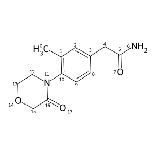 Cc1cc(CC(N)=O)ccc1N1CCOCC1=O